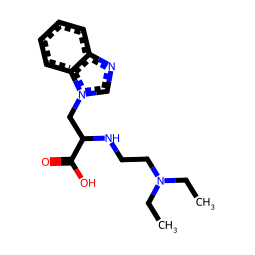 CCN(CC)CCNC(Cn1cnc2ccccc21)C(=O)O